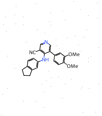 COc1ccc(-c2cncc(C#N)c2Nc2ccc3c(c2)CCC3)cc1OC